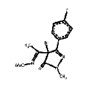 CON=C(C)C1(Br)C(=O)N(C)N=C1c1ccc(F)cc1